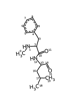 CNC(Cc1ccccc1)C(=O)NC(C=O)CC(C)C